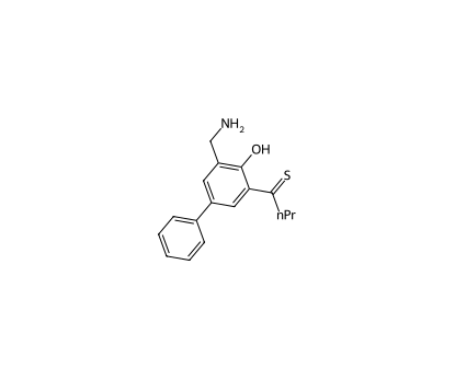 CCCC(=S)c1cc(-c2ccccc2)cc(CN)c1O